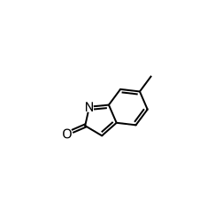 Cc1ccc2c(c1)=NC(=O)C=2